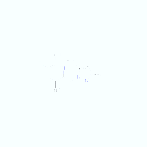 Cc1nc(Cn2nc(C(F)(F)F)cc2C(F)(F)F)c([N+](=O)[O-])cc1F